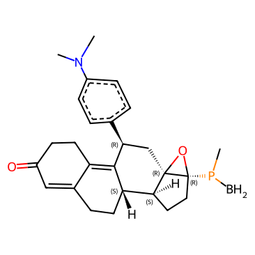 BP(C)[C@]12CC[C@H]3[C@@H]4CCC5=CC(=O)CCC5=C4[C@@H](c4ccc(N(C)C)cc4)C[C@@]31O2